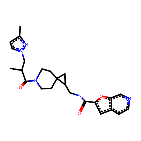 Cc1ccn(CC(C)C(=O)N2CCC3(CC2)CC3CNC(=O)c2cc3ccncc3o2)n1